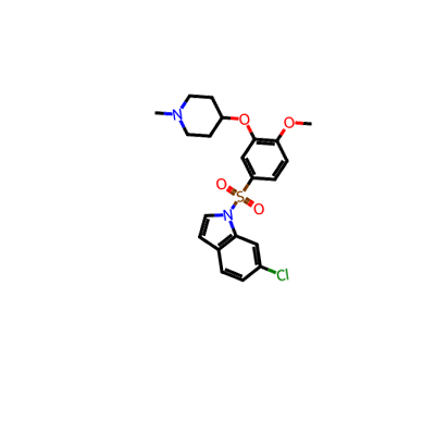 COc1ccc(S(=O)(=O)n2ccc3ccc(Cl)cc32)cc1OC1CCN(C)CC1